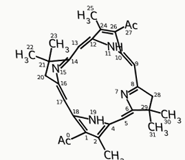 CC(=O)c1c(C)c2cc3nc(cc4[nH]c(cc5nc(cc1[nH]2)CC5(C)C)c(C)c4C(C)=O)CC3(C)C